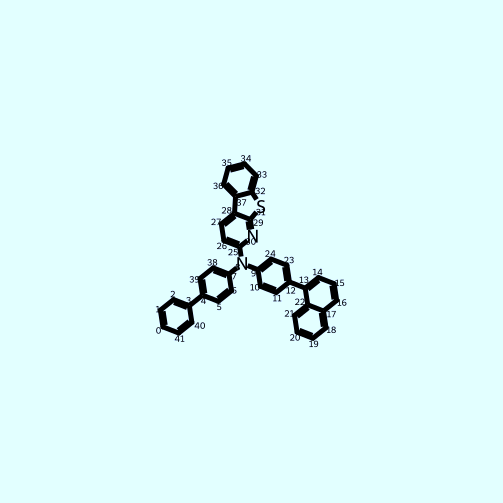 c1ccc(-c2ccc(N(c3ccc(-c4cccc5ccccc45)cc3)c3ccc4c(n3)sc3ccccc34)cc2)cc1